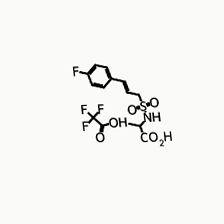 CC(NS(=O)(=O)CC=Cc1ccc(F)cc1)C(=O)O.O=C(O)C(F)(F)F